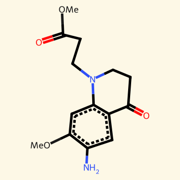 COC(=O)CCN1CCC(=O)c2cc(N)c(OC)cc21